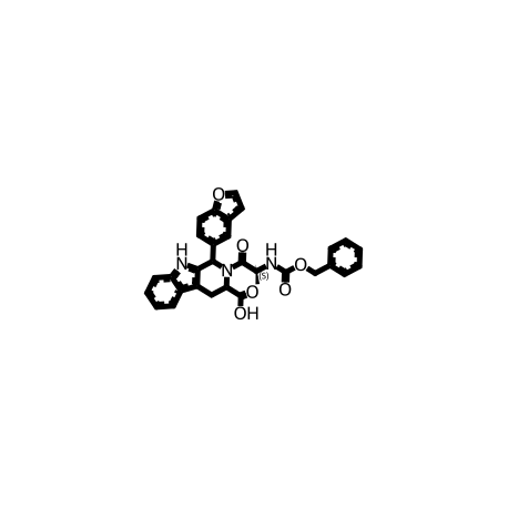 C[C@H](NC(=O)OCc1ccccc1)C(=O)N1C(C(=O)O)Cc2c([nH]c3ccccc23)C1c1ccc2occc2c1